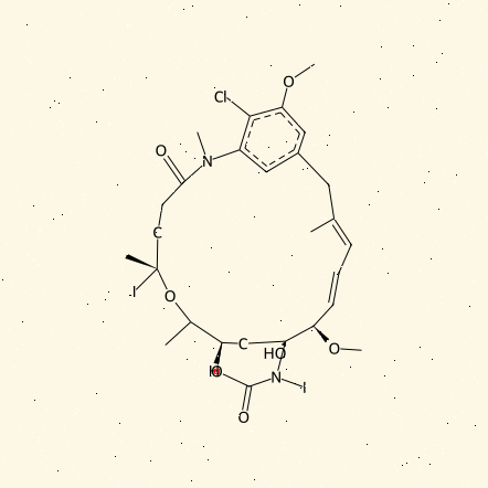 COc1cc2cc(c1Cl)N(C)C(=O)CC[C@@](C)(I)OC(C)[C@@H]1C[C@](O)([C@H](OC)/C=C/C=C(\C)C2)N(I)C(=O)O1